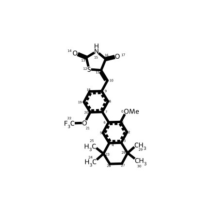 COc1cc2c(cc1-c1cc(/C=C3\SC(=O)NC3=O)ccc1OC(F)(F)F)C(C)(C)CCC2(C)C